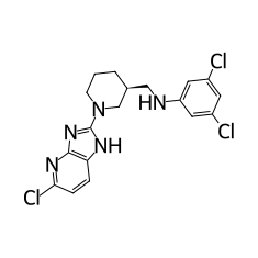 Clc1cc(Cl)cc(NC[C@@H]2CCCN(c3nc4nc(Cl)ccc4[nH]3)C2)c1